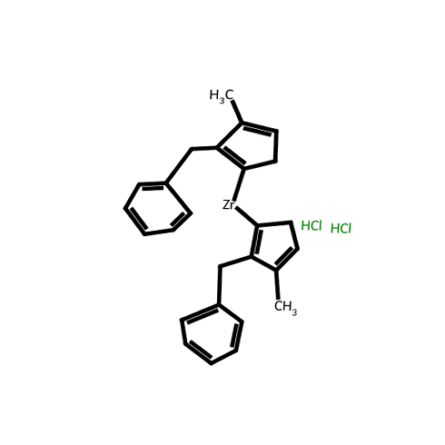 CC1=CC[C]([Zr][C]2=C(Cc3ccccc3)C(C)=CC2)=C1Cc1ccccc1.Cl.Cl